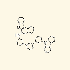 c1cc(Nc2cc3ccccc3c3c2oc2ccccc23)cc(-c2cccc(-c3cccc(-n4c5ccccc5c5ccccc54)c3)c2)c1